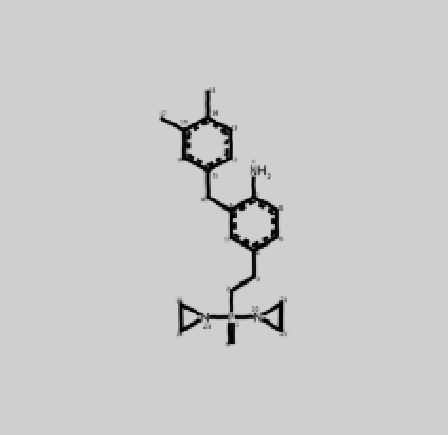 C=P(CCc1ccc(N)c(Cc2ccc(C)c(C)c2)c1)(N1CC1)N1CC1